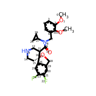 COc1cccc(CN(C(=O)C2CNCC[C@@]23OCc2cc(F)c(F)cc23)C2CC2)c1OC